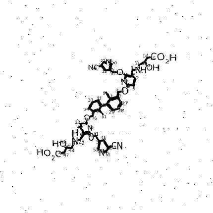 Cc1c(COc2ccc(CNCC(O)CC(=O)O)c(OCc3cncc(C#N)c3)n2)cccc1-c1cccc(COc2ccc(CNCC(O)CC(=O)O)c(OCc3cncc(C#N)c3)n2)c1C